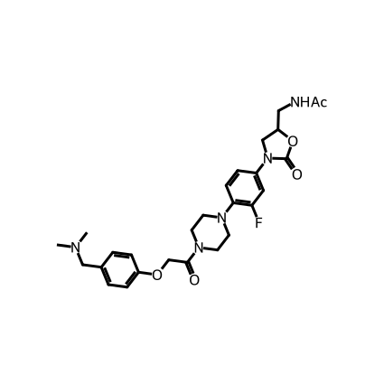 CC(=O)NCC1CN(c2ccc(N3CCN(C(=O)COc4ccc(CN(C)C)cc4)CC3)c(F)c2)C(=O)O1